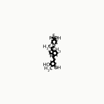 C=C1[C@H](O)CC(=C/C=C2\CCC[C@]3(C)[C@@H]([C@@H](C)CN4CCC(O)(C(F)F)CC4)CC[C@@H]23)C[C@H]1O